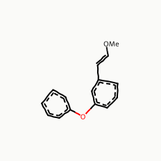 COC=Cc1cccc(Oc2ccccc2)c1